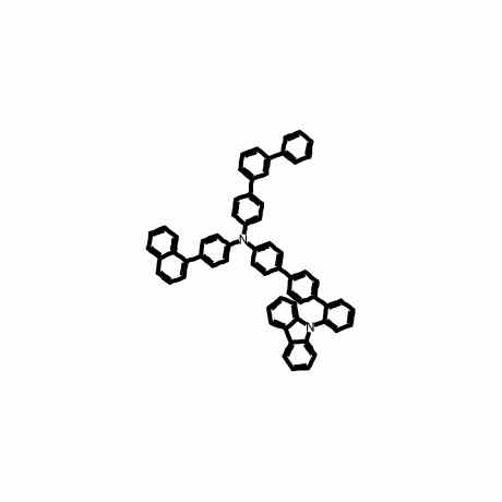 c1ccc(-c2cccc(-c3ccc(N(c4ccc(-c5ccc(-c6ccccc6-n6c7ccccc7c7ccccc76)cc5)cc4)c4ccc(-c5cccc6ccccc56)cc4)cc3)c2)cc1